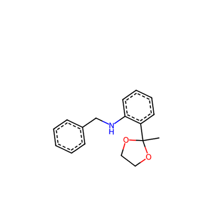 CC1(c2ccccc2NCc2ccccc2)OCCO1